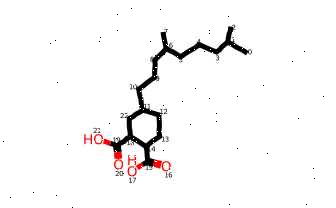 CC(C)CCCC(C)CCCC1CCC(C(=O)O)C(C(=O)O)C1